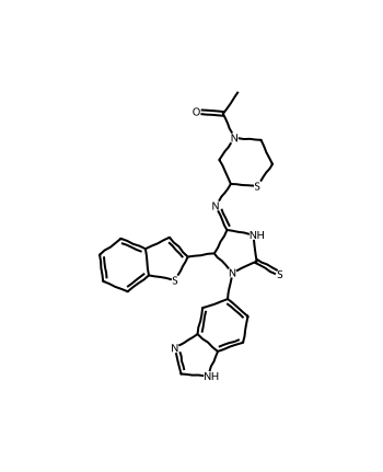 CC(=O)N1CCSC(N=C2NC(=S)N(c3ccc4[nH]cnc4c3)C2c2cc3ccccc3s2)C1